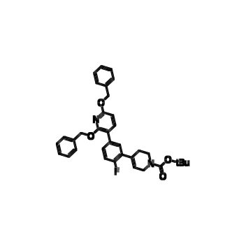 CC(C)(C)OC(=O)N1CC=C(c2cc(-c3ccc(OCc4ccccc4)nc3OCc3ccccc3)ccc2F)CC1